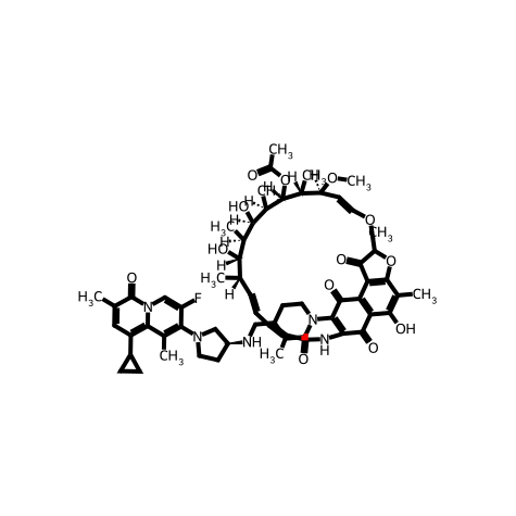 CO[C@H]1/C=C/O[C@@]2(C)Oc3c(C)c(O)c4c(c3C2=O)C(=O)C(N2CCC(CN[C@H]3CCN(c5c(F)cn6c(=O)c(C)cc(C7CC7)c6c5C)C3)CC2)=C(NC(=O)/C(C)=C\C=C\[C@H](C)[C@H](O)[C@@H](C)[C@@H](O)[C@@H](C)[C@H](OC(C)=O)[C@@H]1C)C4=O